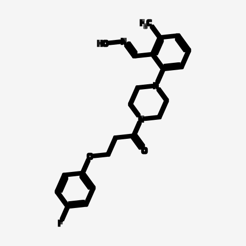 O=C(CCOc1ccc(F)cc1)N1CCN(c2cccc(C(F)(F)F)c2/C=N/O)CC1